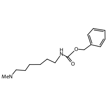 CNCCCCCCNC(=O)OCc1ccccc1